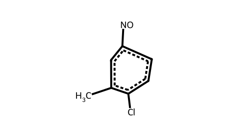 Cc1cc(N=O)ccc1Cl